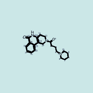 O=C(CCCN1CCCCC1)N1CCc2[nH]c(=O)c3ccccc3c2C1